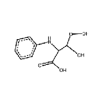 O=C(O)C(Nc1ccccc1)C(O)OO